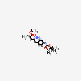 COC(=O)C(C)C[C@@H](N)Cc1ccc(NC(=O)OC(C)(C)C)cc1